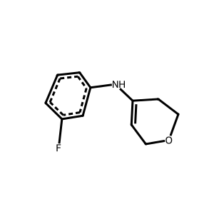 Fc1cccc(NC2=CCOCC2)c1